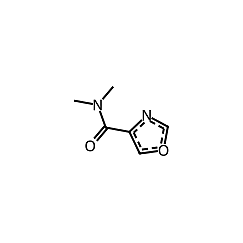 CN(C)C(=O)c1cocn1